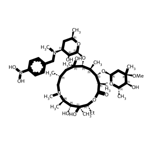 CC[C@H]1OC(=O)[C@H](C)[C@@H](O[C@H]2C[C@@](C)(OC)[C@@H](O)[C@H](C)O2)[C@H](C)[C@@H](O[C@@H]2O[C@H](C)C[C@H](N(C)Cc3ccc(B(O)O)cc3)[C@H]2O)[C@](C)(O)C[C@@H](C)CN(C)[C@H](C)[C@@H](O)[C@]1(C)O